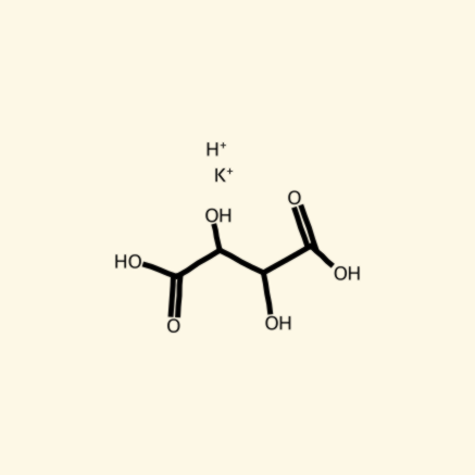 O=C(O)C(O)C(O)C(=O)O.[H+].[K+]